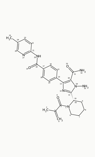 C=C(C)C(=O)N1CCCC[C@H]1c1nc(-c2ccc(C(=O)Nc3ccc(C)cn3)cc2)c(C(N)=O)n1N